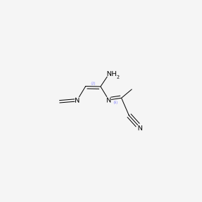 C=N/C=C(N)\N=C(/C)C#N